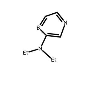 CCN(CC)c1bccnc1